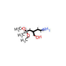 CO[Si](C)(CC(CO)CCN)OC